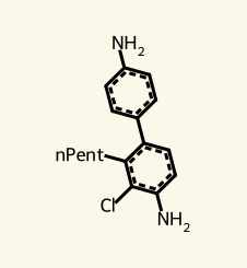 CCCCCc1c(-c2ccc(N)cc2)ccc(N)c1Cl